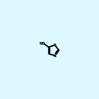 Oc1cnco1